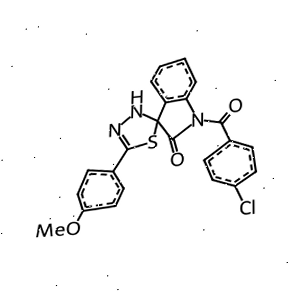 COc1ccc(C2=NNC3(S2)C(=O)N(C(=O)c2ccc(Cl)cc2)c2ccccc23)cc1